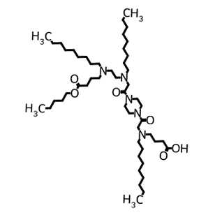 CCCCCCCCCN(CCCC(=O)OCCCCC)CCN(CCCCCCCCC)CC(=O)N1CCN(C(=O)CN(CCCCCCCCC)CCCC(=O)O)CC1